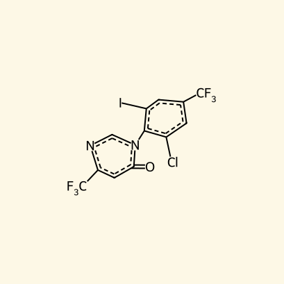 O=c1cc(C(F)(F)F)ncn1-c1c(Cl)cc(C(F)(F)F)cc1I